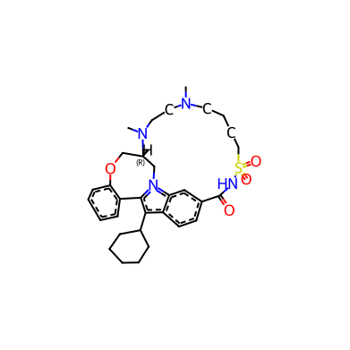 CN1CCCCS(=O)(=O)NC(=O)c2ccc3c(C4CCCCC4)c4n(c3c2)C[C@H](COc2ccccc2-4)N(C)CC1